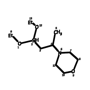 CCO[SiH](CC(C)N1CCOCC1)OCC